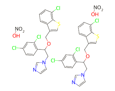 Clc1ccc(C(Cn2ccnc2)OCc2csc3c(Cl)cccc23)c(Cl)c1.Clc1ccc(C(Cn2ccnc2)OCc2csc3c(Cl)cccc23)c(Cl)c1.O=[N+]([O-])O.O=[N+]([O-])O